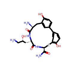 NC[C@H](O)C[C@@H]1NC(=O)[C@@H](N)Cc2cc(ccc2O)-c2ccc(O)c(c2)C[C@@H](C(N)=O)NC1=O